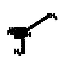 CCCCCCCCCCCCCCCCCCCCCC[C@@H](O)C(=O)N[C@@H](CO[C@@H]1O[C@H](CO)[C@H](O)[C@H](O)[C@H]1O)[C@H](O)[C@H](O)CCCCCCCCCCCC